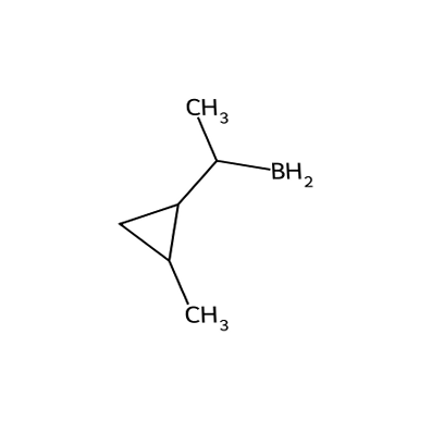 BC(C)C1CC1C